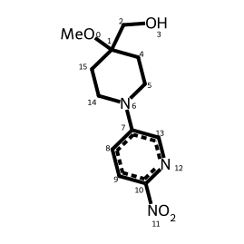 COC1(CO)CCN(c2ccc([N+](=O)[O-])nc2)CC1